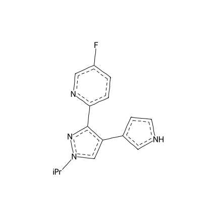 CC(C)n1cc(-c2cc[nH]c2)c(-c2ccc(F)cn2)n1